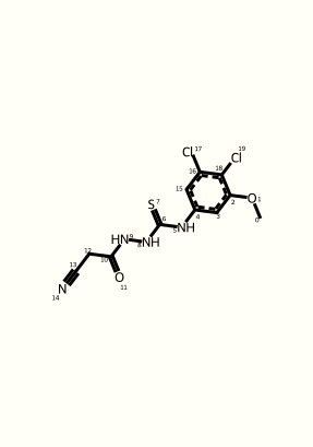 COc1cc(NC(=S)NNC(=O)CC#N)cc(Cl)c1Cl